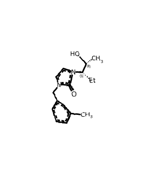 CC[C@@H]([C@@H](C)O)n1ccn(Cc2cccc(C)c2)c1=O